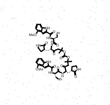 COc1cccc2[nH]c(C(=O)N[C@@H](CC(C)C)C(=O)N[C@@H](C[C@@H]3CCNC3=O)C(=O)CC(C)(C)OC(=O)OC(C)(C)CC(=O)[C@H](C[C@@H]3CCNC3=O)NC(=O)[C@H](CC(C)C)NC(=O)c3cc4c(OC)cccc4[nH]3)cc12